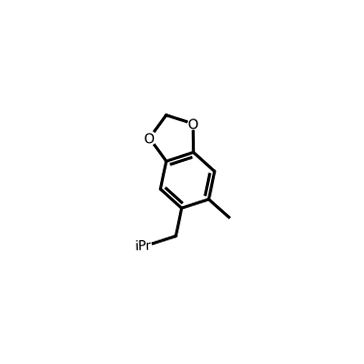 Cc1cc2c(cc1CC(C)C)OCO2